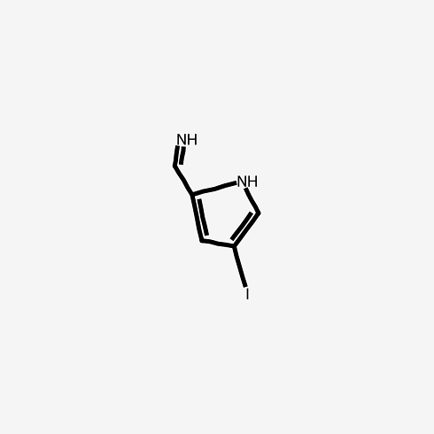 N=Cc1cc(I)c[nH]1